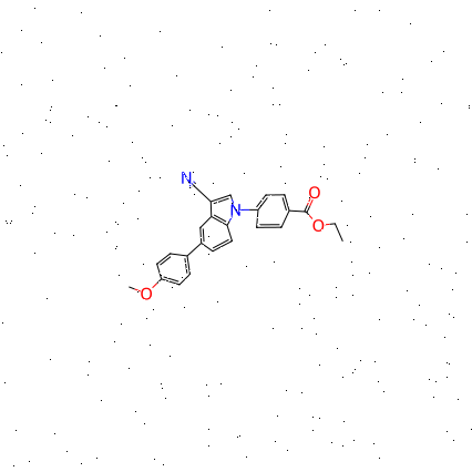 CCOC(=O)c1ccc(-n2cc(C#N)c3cc(-c4ccc(OC)cc4)ccc32)cc1